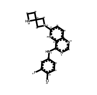 Fc1cc(Nc2ncnc3ccc(N4CC5(CCN5)C4)nc23)ccc1Cl